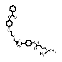 CN(C)CCCC(=O)Nc1ccc(-c2nnc(CSCCOc3ccc(OC(=O)c4ccccc4)cc3)o2)cc1